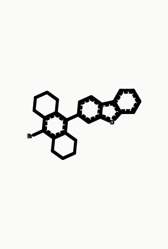 Brc1c2c(c(-c3ccc4c(c3)oc3ccccc34)c3c1CCCC3)CCCC2